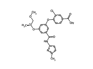 COC[C@H](C)Oc1cc(Oc2ccc(C(=O)O)cc2Cl)cc(C(=O)Nc2ccn(C)n2)c1